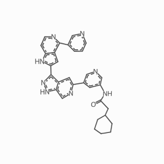 O=C(CC1CCCCC1)Nc1cncc(-c2cc3c(-c4cc5c(-c6cccnc6)nccc5[nH]4)n[nH]c3cn2)c1